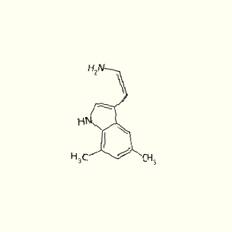 Cc1cc(C)c2[nH]cc(/C=C\N)c2c1